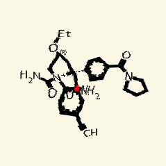 C#Cc1ccc([N+]2(C(N)=O)C[C@H](OCC)C[C@]2(C(N)=O)c2ccc(C(=O)N3CCCC3)cc2)cc1